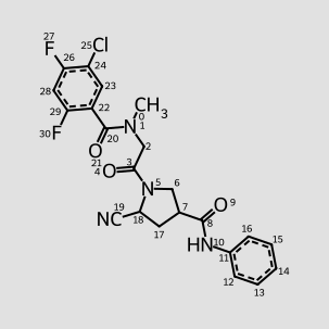 CN(CC(=O)N1CC(C(=O)Nc2ccccc2)CC1C#N)C(=O)c1cc(Cl)c(F)cc1F